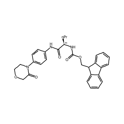 CCC[C@@H](NC(=O)OCC1c2ccccc2-c2ccccc21)C(=O)Nc1ccc(N2CCOCC2=O)cc1